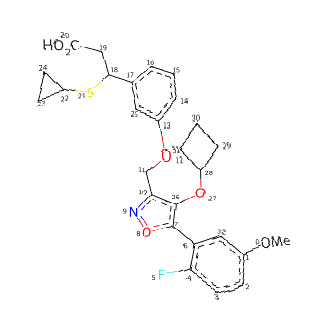 COc1ccc(F)c(-c2onc(COc3cccc(C(CC(=O)O)SC4CC4)c3)c2OC2CCC2)c1